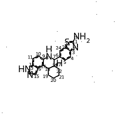 Nc1nc2ccc(C3Nc4ccc5[nH]ncc5c4C4CCCC[C@H]43)cc2s1